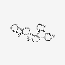 c1ccc2c(c1)sc1c2ccc2c1sc1ccc3c4ccncc4c4nccn4c3c12